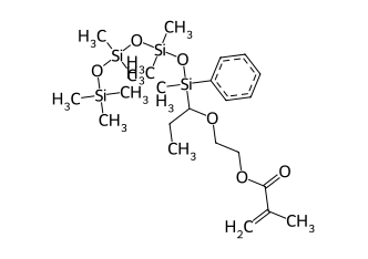 C=C(C)C(=O)OCCOC(CC)[Si](C)(O[Si](C)(C)O[Si](C)(C)O[Si](C)(C)C)c1ccccc1